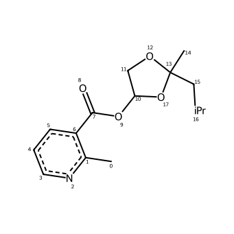 Cc1ncccc1C(=O)OC1COC(C)(CC(C)C)O1